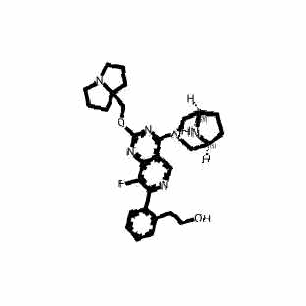 OCCc1ccccc1-c1ncc2c(N3C[C@H]4CC[C@@H](C3)N4)nc(OCC34CCCN3CCC4)nc2c1F